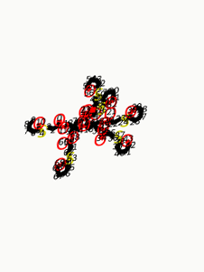 O=C(CCSC1CCCCO1)OCC(COCC(COC(=O)CCSC1CCCCO1)(COC(=O)CCSC1CCCCO1)COC(=O)CCSC1CCCCO1)(COC(=O)CCSC1CCCCO1)COC(=O)CCSC1CCCCO1